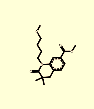 COCCCCN1C(=O)C(C)(C)Cc2ccc(C(=O)OC)cc21